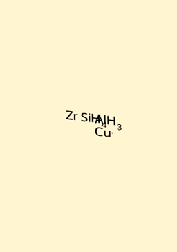 [AlH3].[Cu].[SiH4].[Zr]